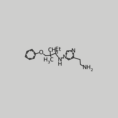 CCC(Nn1cnc(CCN)c1)C(C)(C)COc1ccccc1